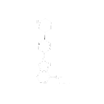 O=CNc1cccc2cn(-c3ccc([C@@H]4CCCNC4)cc3)nc12